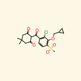 CC1(C)CC(=O)C(C(=O)c2ccc(S(C)(=O)=O)c(OCC3CC3)c2Cl)C(=O)C1